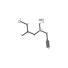 C#CCN(C)CC(C)CCl.Cl